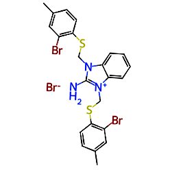 Cc1ccc(SCn2c(N)[n+](CSc3ccc(C)cc3Br)c3ccccc32)c(Br)c1.[Br-]